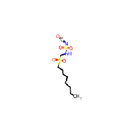 CCCCCCCCS(=O)(=O)CNS(=O)(=O)N=C=O